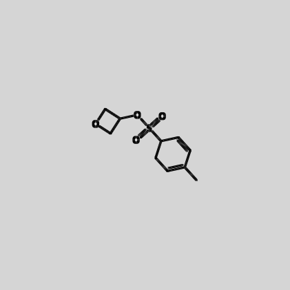 CC1=CCC(S(=O)(=O)OC2COC2)C=C1